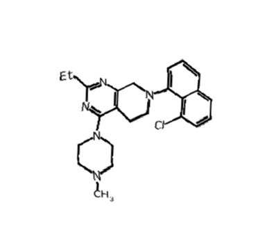 CCc1nc2c(c(N3CCN(C)CC3)n1)CCN(c1cccc3cccc(Cl)c13)C2